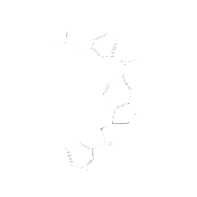 CN(c1cccc(OC(F)F)c1)c1ccc2c(c1)CC[C@H]2CNc1cccnc1